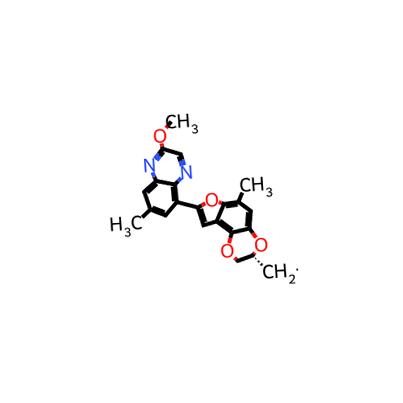 [CH2][C@@H]1COc2c(cc(C)c3oc(-c4cc(C)cc5nc(OC)cnc45)cc23)O1